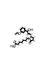 CCOc1cccc(C(O)/C=C/[C@H]2CCC(=O)N2CCCCCCC(=O)O)c1